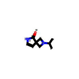 CC(C)N1CC2(C=CNC2=O)C1